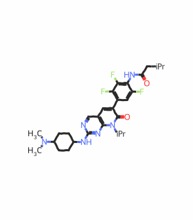 CC(C)CC(=O)Nc1c(F)cc(-c2cc3cnc(NC4CCC(N(C)C)CC4)nc3n(C(C)C)c2=O)c(F)c1F